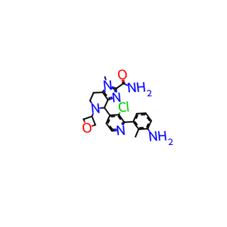 Cc1c(N)cccc1-c1nccc(C2c3nc(C(N)=O)n(C)c3CCN2C2COC2)c1Cl